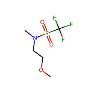 COCCN(C)S(=O)(=O)C(F)(F)F